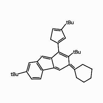 CC(C)(C)C1=CCC(c2c(C(C)(C)C)c(=C3CCCCC3)cc3c2=[C]c2cc(C(C)(C)C)ccc2-3)=C1